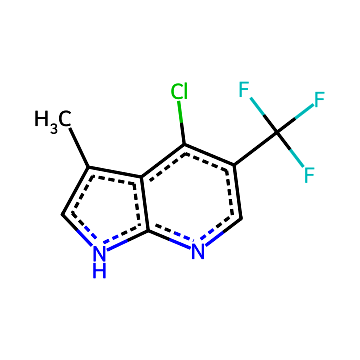 Cc1c[nH]c2ncc(C(F)(F)F)c(Cl)c12